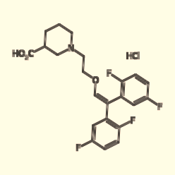 Cl.O=C(O)C1CCCN(CCOC=C(c2cc(F)ccc2F)c2cc(F)ccc2F)C1